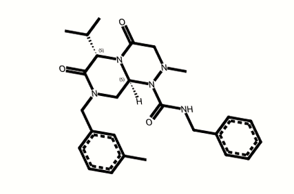 Cc1cccc(CN2C[C@H]3N(C(=O)CN(C)N3C(=O)NCc3ccccc3)[C@@H](C(C)C)C2=O)c1